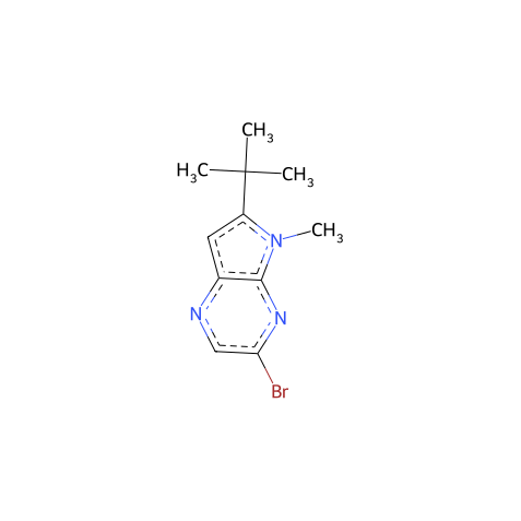 Cn1c(C(C)(C)C)cc2ncc(Br)nc21